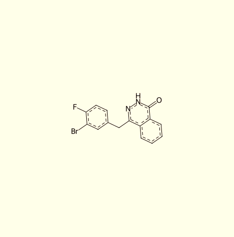 O=c1[nH]nc(Cc2ccc(F)c(Br)c2)c2ccccc12